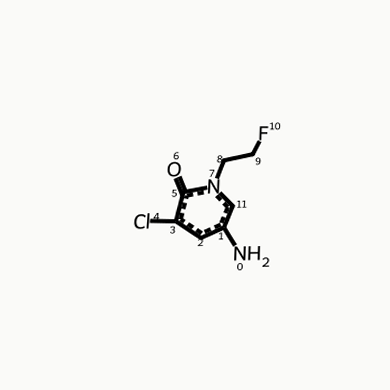 Nc1cc(Cl)c(=O)n(CCF)c1